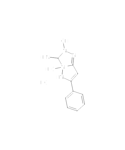 CN1N=C2C=C(c3ccccc3)N[N+]2(C)C1N.Cl